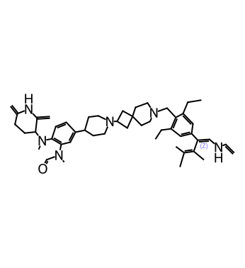 C=CN/C=C(\C(C)=C(C)C)c1cc(CC)c(CN2CCC3(CC2)CC(N2CCC(c4ccc(N(C)C5CCC(=C)NC5=C)c(N(C)C=O)c4)CC2)C3)c(CC)c1